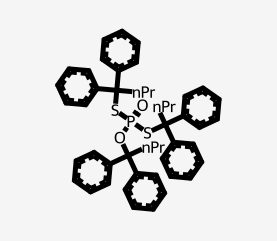 CCCC(OP(=O)(SC(CCC)(c1ccccc1)c1ccccc1)SC(CCC)(c1ccccc1)c1ccccc1)(c1ccccc1)c1ccccc1